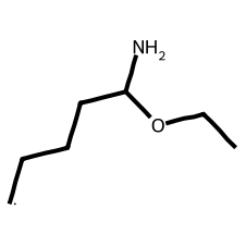 [CH2]CCCC(N)OCC